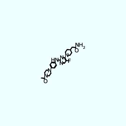 CC(=O)N1CCN(c2ccc(Nc3ncc(F)c(N4CCC(CC(N)=O)CC4)n3)cc2)CC1